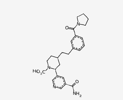 NC(=O)c1cncc(C2CC(CCc3cccc(C(=O)N4CCCC4)c3)CCN2C(=O)O)c1